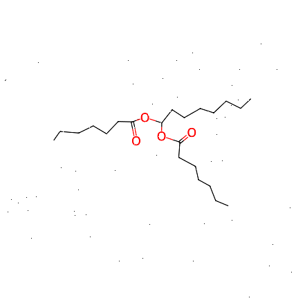 CCCCCCCC(OC(=O)CCCCCC)OC(=O)CCCCCC